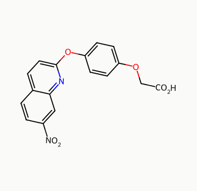 O=C(O)COc1ccc(Oc2ccc3ccc([N+](=O)[O-])cc3n2)cc1